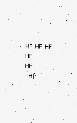 F.F.F.F.F.[Hf]